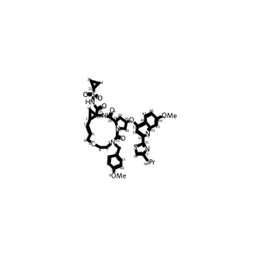 COc1ccc(CN2CCCC/C=C/C3CC3(C(=O)NS(=O)(=O)C3CC3)NC(=O)C3CC(Oc4cc(-c5nc(C(C)C)cs5)nc5cc(OC)ccc45)CN3C2=O)cc1